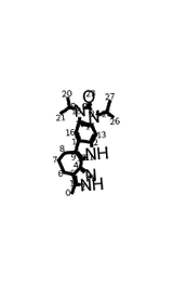 Cc1[nH]nc2c1CCCc1c-2[nH]c2cc3c(cc12)n(C(C)C)c(=O)n3C(C)C